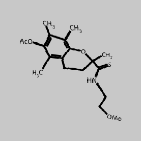 COCCNC(=S)C1(C)CCc2c(C)c(OC(C)=O)c(C)c(C)c2O1